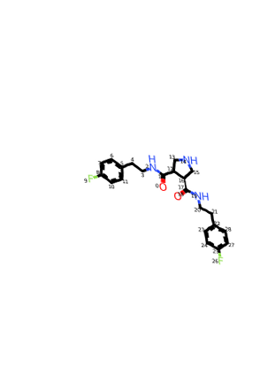 O=C(NCCc1ccc(F)cc1)C1CNC[C@H]1C(=O)NCCc1ccc(F)cc1